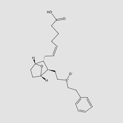 O=C(O)CCC/C=C\C[C@@H]1[C@@H](CC[S+]([O-])CCc2ccccc2)[C@@H]2CC[C@H]1O2